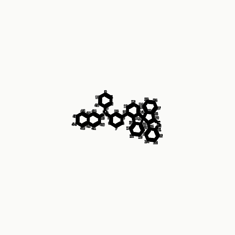 c1ccc(N(c2cccc(-c3cccc4c3-c3ccccc3[C@]43c4ccccc4-c4sc5ccccc5c43)c2)c2ccc3ccccc3c2)cc1